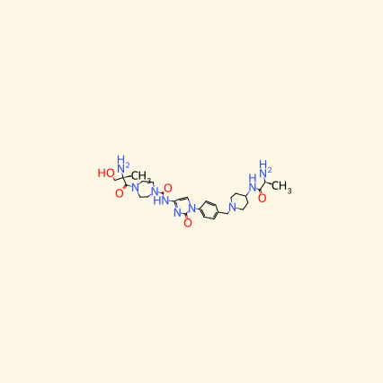 C[C@H](N)C(=O)NC1CCN(Cc2ccc(-n3ccc(NC(=O)N4CCN(C(=O)[C@@](C)(N)CO)CC4)nc3=O)cc2)CC1